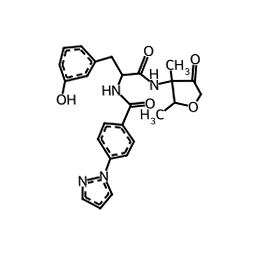 CC1OCC(=O)C1(C)NC(=O)C(Cc1cccc(O)c1)NC(=O)c1ccc(-n2cccn2)cc1